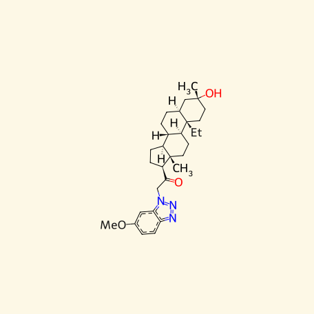 CC[C@]12CC[C@@](C)(O)C[C@@H]1CC[C@H]1[C@@H]3CC[C@H](C(=O)Cn4nnc5ccc(OC)cc54)[C@@]3(C)CC[C@@H]12